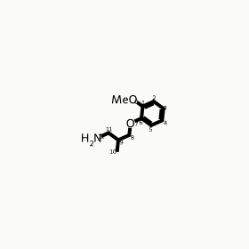 COc1ccccc1OCC(C)CN